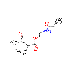 C=CC(=O)NCCOC(=O)C(C)C(C)C=O